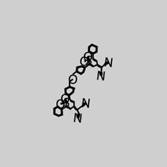 N#CC(C#N)=C1C=C(c2ccccc2)S(=O)(=O)C(c2ccc(COCc3ccc(C4=CC(=C(C#N)C#N)C=C(c5ccccc5)S4(=O)=O)cc3)cc2)=C1